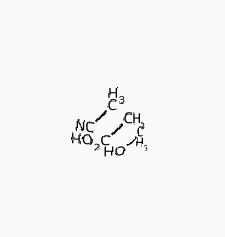 CC#N.CC(=O)O.CO